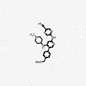 C#Cc1cnc(Nc2cc(NC3CCN(C)CC3)c(-c3ccc(COC)cc3)cn2)cn1